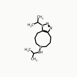 CC(C)BN1CCCc2nnn(C(C)C)c2CCC1